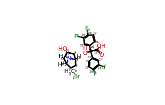 CBr.CN1[C@@H]2CC[C@H]1C[C@@H](O)C2.O=C(O)C(O)(c1ccc(F)c(F)c1)c1ccc(F)c(F)c1